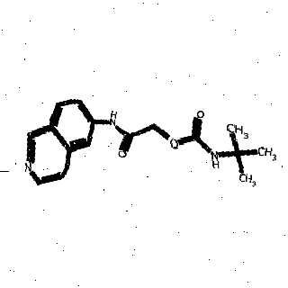 CC(C)(C)NC(=O)OCC(=O)Nc1ccc2cnccc2c1